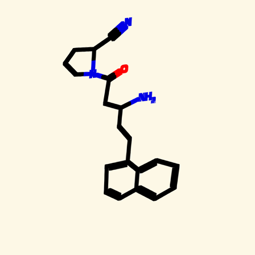 N#CC1CCCN1C(=O)CC(N)CCc1cccc2ccccc12